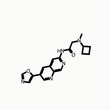 CN(CC(=O)Nc1cc2cc(-c3cnco3)cnc2cn1)C1CCC1